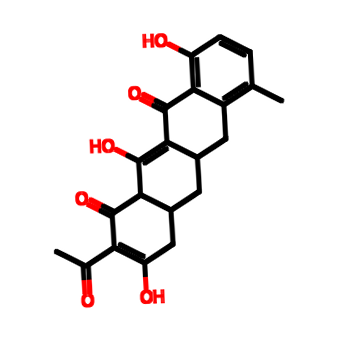 CC(=O)C1=C(O)CC2CC3Cc4c(C)ccc(O)c4C(=O)C3=C(O)C2C1=O